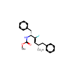 CC(C)(C)OC(=O)N[C@H](Cc1ccccc1)/C(F)=C/[C@H](Cc1ccccc1)C(=O)O